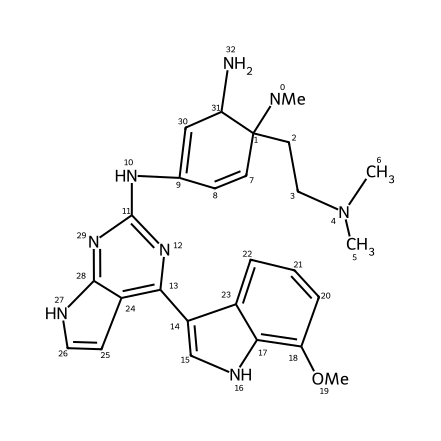 CNC1(CCN(C)C)C=CC(Nc2nc(-c3c[nH]c4c(OC)cccc34)c3cc[nH]c3n2)=CC1N